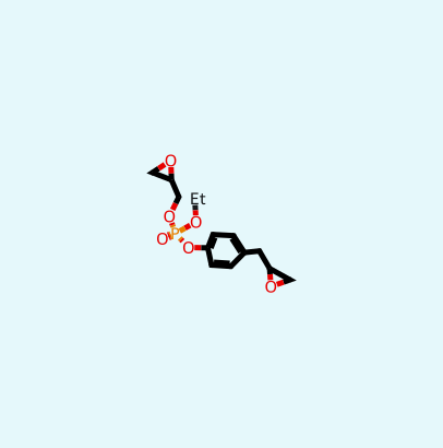 CCOP(=O)(OCC1CO1)Oc1ccc(CC2CO2)cc1